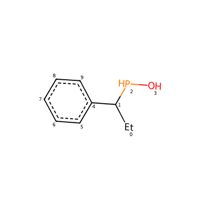 CCC(PO)c1ccccc1